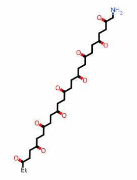 CCC(=O)CCC(=O)CCC(=O)CCC(=O)CCC(=O)CCC(=O)CCC(=O)CCC(=O)CCC(=O)CN